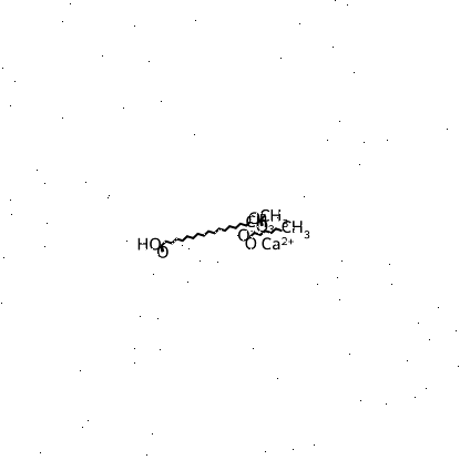 CC(=O)[O-].CCCCCCCC(=O)[O-].CCCCCCCCCCCCCCCCCC(=O)O.[Ca+2]